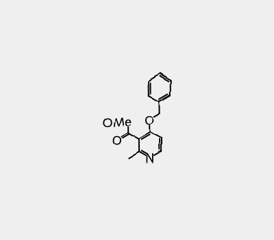 COC(=O)c1c(OCc2ccccc2)ccnc1C